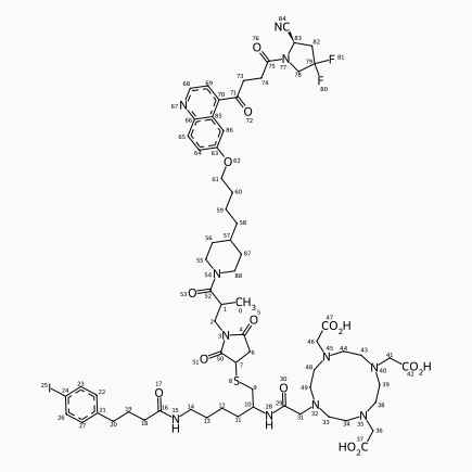 CC(CN1C(=O)CC(SCC(CCCCNC(=O)CCCc2ccc(I)cc2)NC(=O)CN2CCN(CC(=O)O)CCN(CC(=O)O)CCN(CC(=O)O)CC2)C1=O)C(=O)N1CCC(CCCCOc2ccc3nccc(C(=O)CCC(=O)N4CC(F)(F)C[C@@H]4C#N)c3c2)CC1